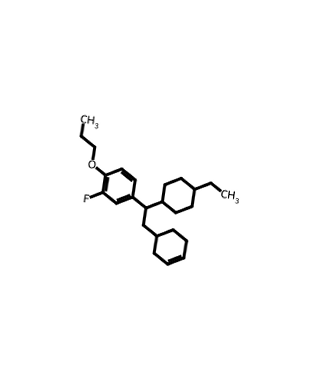 CCCOc1ccc(C(CC2CC=CCC2)C2CCC(CC)CC2)cc1F